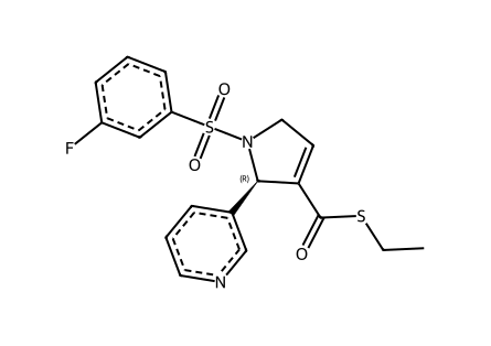 CCSC(=O)C1=CCN(S(=O)(=O)c2cccc(F)c2)[C@@H]1c1cccnc1